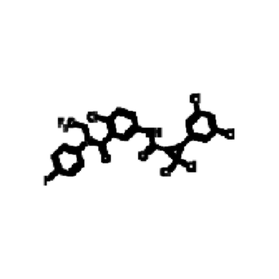 O=C(Nc1ccc(Cl)c(C(=O)N(CC(F)(F)F)c2ccc(F)cc2)c1)[C@@H]1[C@@H](c2cc(Cl)cc(Cl)c2)C1(Cl)Cl